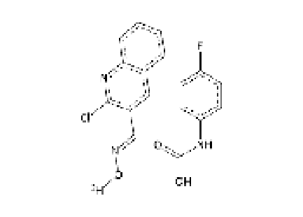 O=C(O)Nc1ccc(F)cc1.[2H]ON=Cc1cc2ccccc2nc1Cl